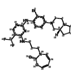 CCc1cc(N2CCN3CCC[C@@H]3C2)ccc1Nc1ncc(C(F)F)c(NCCCN2C=CC=COC2=O)n1